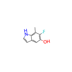 Cc1c(F)c(O)cc2cc[nH]c12